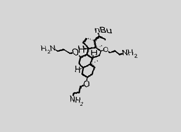 CCCC[C@@H](C)[C@H]1CC[C@H]2C3[C@H](OCCCN)C[C@@H]4C[C@H](OCCCN)CC[C@]4(C)[C@H]3C[C@H](OCCCN)[C@]12C